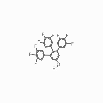 CCOc1cc(-c2cc(F)c(F)c(F)c2)c(-c2cc(F)c(F)c(F)c2)c(-c2cc(F)c(F)c(F)c2)c1